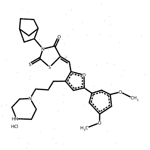 COc1cc(OC)cc(-c2cc(CCCN3CCNCC3)c(/C=C3\SC(=S)N(C4CC5CCC4C5)C3=O)o2)c1.Cl